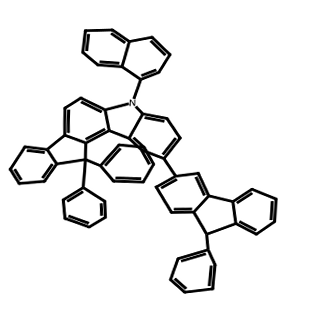 c1ccc(C2c3ccccc3-c3cc(-c4ccc5c(c4)c4c6c(ccc4n5-c4cccc5ccccc45)-c4ccccc4C6(c4ccccc4)c4ccccc4)ccc32)cc1